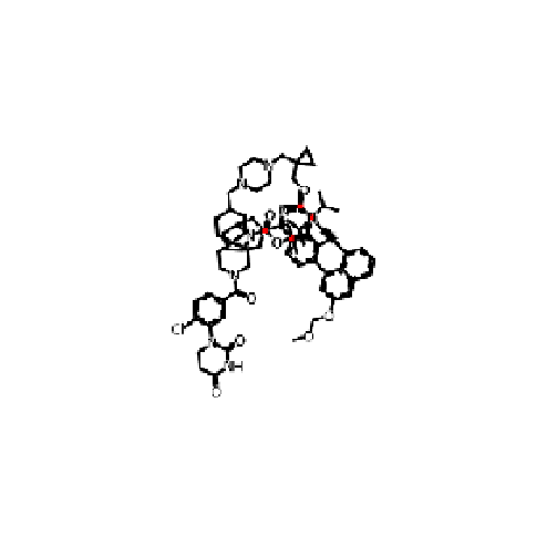 COCOc1cc(-c2ccc3c(N4CC5CCC(C4)N5C(=O)OC(C)(C)C)nc(OCC4(CN5CCN(CC6CCC7(CC6)CCN(C(=O)c6ccc(Cl)c(N8CCC(=O)NC8=O)c6)CC7)CC5)CC4)nc3c2F)c2c(C#C[Si](C(C)C)(C(C)C)C(C)C)cccc2c1